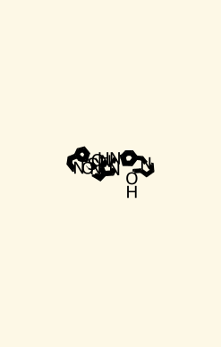 O=S(=O)(c1cccc2cccnc12)n1ccc2cnc(Nc3ccc(CN4CCCC4CO)cc3)nc21